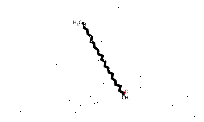 CCCCCCCCCCCCCCCCCCCCCCCC(C)=O